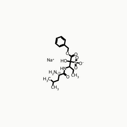 CCC(NC(=O)[C@@H](N)CC(C)C)C(O)(C(=O)OCc1ccccc1)S(=O)(=O)[O-].[Na+]